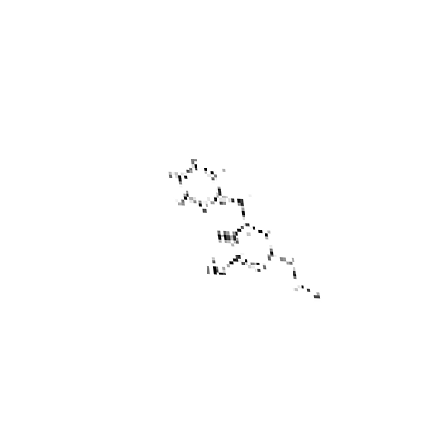 CCCCCC(NC(=O)O)Sc1ccccc1